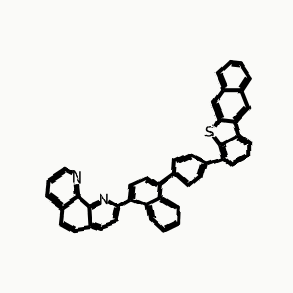 c1ccc2cc3c(cc2c1)sc1c(-c2ccc(-c4ccc(-c5ccc6ccc7cccnc7c6n5)c5ccccc45)cc2)cccc13